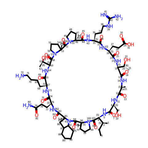 CC[C@H](C)[C@@H]1NC(=O)[C@H](CO)NC(=O)[C@H](C)NC(=O)[C@H]([C@@H](C)O)NC(=O)[C@H](CCC(=O)O)NC(=O)[C@H](CCCNC(=N)N)NC(=O)[C@@H]2CCCN2C(=O)[C@H]2CCCN2C(=O)[C@H]([C@@H](C)O)NC(=O)[C@H](CCCCN)NC(=O)[C@H](CCC(N)=O)NC(=O)[C@@H]2CC3CCCCC3N2C(=O)[C@@H]2CCCN2C1=O